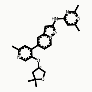 Cc1cc(-c2ccn3nc(Nc4cc(C)nc(C)n4)cc3c2)c(O[C@H]2COC(C)(C)C2)cn1